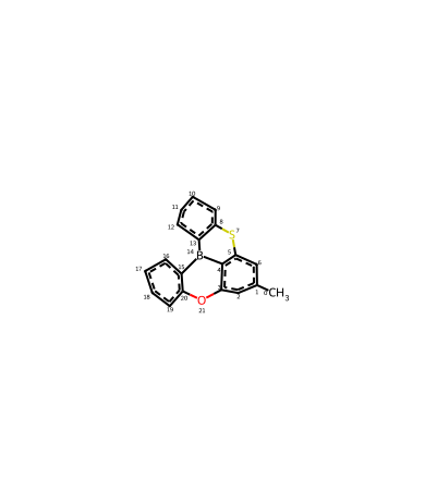 Cc1cc2c3c(c1)Sc1ccccc1B3c1ccccc1O2